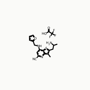 Cc1c(CC(C)N)sc2c(NCc3ccco3)cc(C#N)nc12.O=C(O)C(F)(F)F